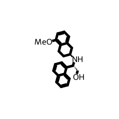 COc1cccc2c1CC[C@H](N[C@H](CO)c1cccc3ccccc13)C2